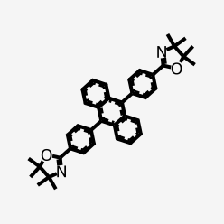 CC1(C)N=C(c2ccc(-c3c4ccccc4c(-c4ccc(C5=NC(C)(C)C(C)(C)O5)cc4)c4ccccc34)cc2)OC1(C)C